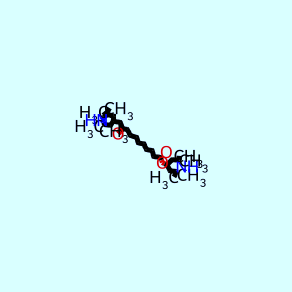 CC1(C)CC(CC(=O)CCCCCCCCC(=O)OC2CC(C)(C)NC(C)(C)C2)CC(C)(C)N1